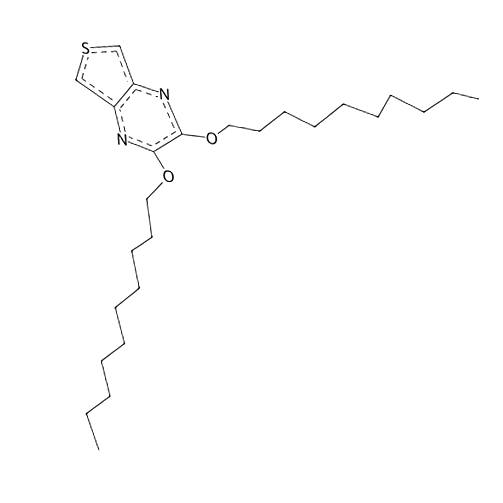 CCCCCCCCCCOc1nc2cscc2nc1OCCCCCCCCCC